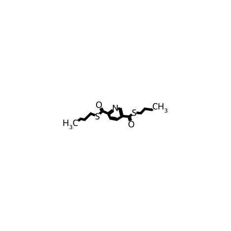 CCCCSC(=O)c1ccc(C(=O)SCCCC)nc1